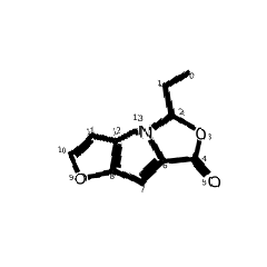 CCC1OC(=O)c2cc3occc3n21